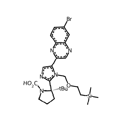 CC(C)(C)[C@]1(c2ncc(-c3cnc4cc(Br)ccc4n3)n2COCC[Si](C)(C)C)CCCN1C(=O)O